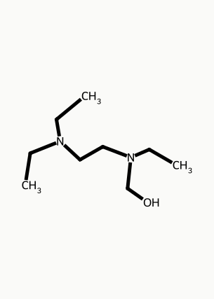 CCN(CC)CCN(CC)CO